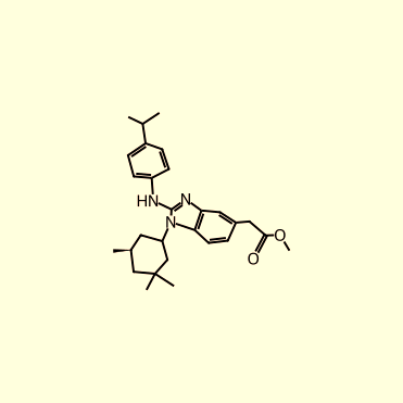 COC(=O)Cc1ccc2c(c1)nc(Nc1ccc(C(C)C)cc1)n2C1C[C@H](C)CC(C)(C)C1